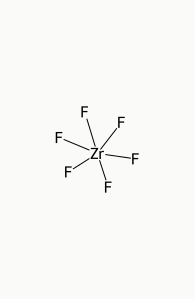 [F][Zr]([F])([F])([F])([F])[F]